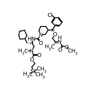 COC(=O)N[C@H](C)CO[C@@H](c1cccc(Cl)c1)C1CCCN(C(=O)N[C@@H](CC2CCCCC2)CN(C)C(=O)OCC[Si](C)(C)C)C1